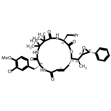 COc1ccc(C[C@H]2NC(=O)/C=C/C[C@@H]([C@H](C)[C@H]3O[C@@H]3c3ccccc3)OC(=O)[C@H](CC(C)C)NC(=O)C(C)(C)C(C)(C)NC2=O)cc1Cl